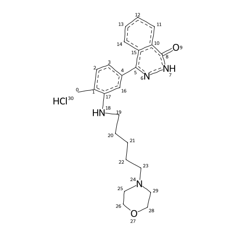 Cc1ccc(-c2n[nH]c(=O)c3ccccc23)cc1NCCCCCN1CCOCC1.Cl